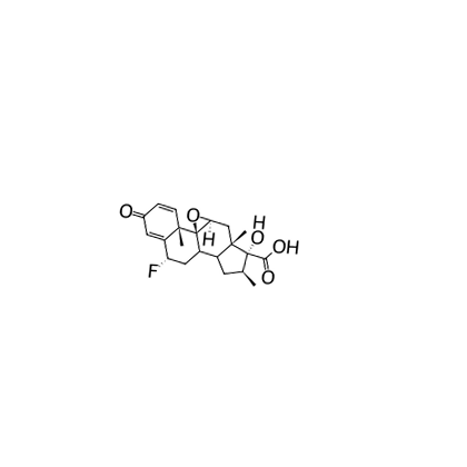 C[C@H]1CC2C3C[C@H](F)C4=CC(=O)C=C[C@]4(C)[C@@]34O[C@H]4C[C@]2(C)[C@@]1(O)C(=O)O